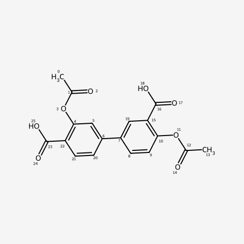 CC(=O)Oc1cc(-c2ccc(OC(C)=O)c(C(=O)O)c2)ccc1C(=O)O